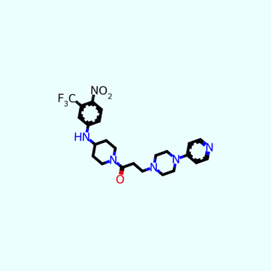 O=C(CCN1CCN(c2ccncc2)CC1)N1CCC(Nc2ccc([N+](=O)[O-])c(C(F)(F)F)c2)CC1